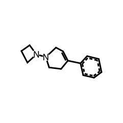 C1=C(c2ccccc2)CCN(N2CCC2)C1